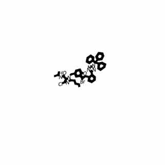 CCCCc1nc(Cl)c(C(=O)NC(C)C)n1Cc1ccc2oc(-c3ccccc3-c3nnn(C(c4ccccc4)(c4ccccc4)c4ccccc4)n3)c(Br)c2c1